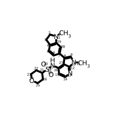 CN1CCc2ccc(-c3cn(C)c4nccc(NS(=O)(=O)C5CCOCC5)c34)cc21